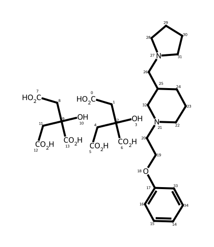 O=C(O)CC(O)(CC(=O)O)C(=O)O.O=C(O)CC(O)(CC(=O)O)C(=O)O.c1ccc(OCCN2CCCC(CN3CCCC3)C2)cc1